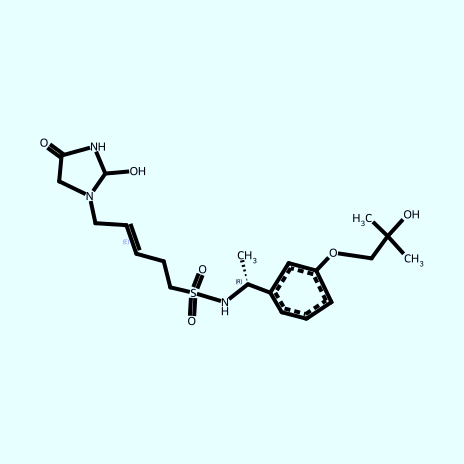 C[C@@H](NS(=O)(=O)CC/C=C/CN1CC(=O)NC1O)c1cccc(OCC(C)(C)O)c1